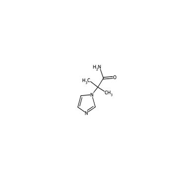 CC(C)(C(N)=O)n1ccnc1